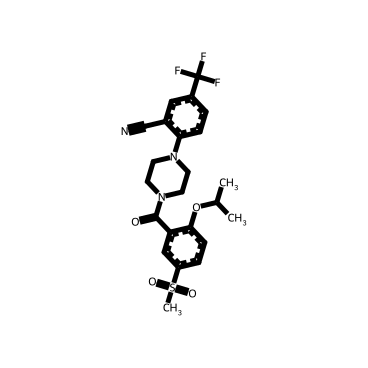 CC(C)Oc1ccc(S(C)(=O)=O)cc1C(=O)N1CCN(c2ccc(C(F)(F)F)cc2C#N)CC1